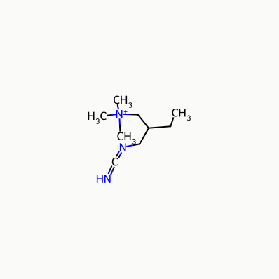 CCC(CN=C=N)C[N+](C)(C)C